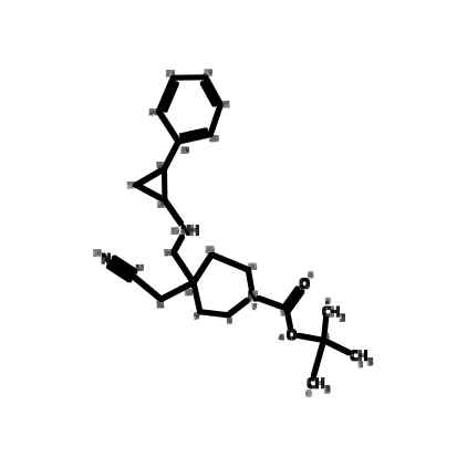 CC(C)(C)OC(=O)N1CCC(CC#N)(CNC2CC2c2ccccc2)CC1